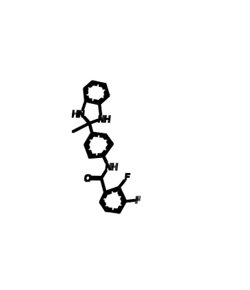 CC1(c2ccc(NC(=O)c3cccc(F)c3F)cc2)Nc2ccccc2N1